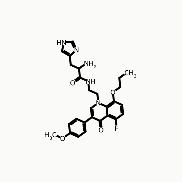 CCCOc1ccc(F)c2c(=O)c(-c3ccc(OC)cc3)cn(CCNC(=O)C(N)Cc3c[nH]cn3)c12